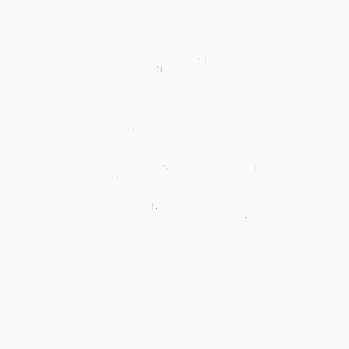 COC(=O)N(c1ncc(C(F)(F)F)cc1OC(F)F)C1CCCc2c1ccnc2Cl